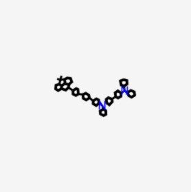 CC1(C)c2cccc3cc(-c4ccc(-c5ccc(-c6ccc(N(c7ccccc7)c7ccc(-c8ccc(N(c9ccccc9)c9ccccc9)cc8)cc7)cc6)cc5)cc4)c4cccc1c4c23